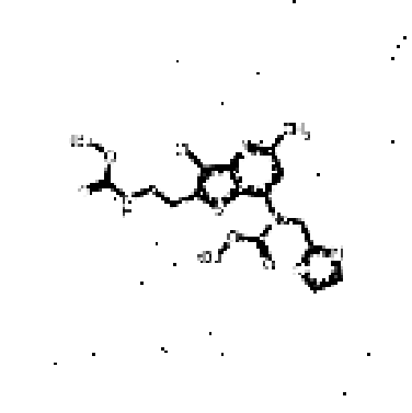 Cc1cc(N(Cc2nccs2)C(=O)OC(C)(C)C)c2sc(CCNC(=O)OC(C)(C)C)c(Cl)c2n1